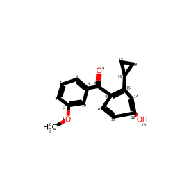 COc1cccc(C(=O)c2ccc(O)cc2C2CC2)c1